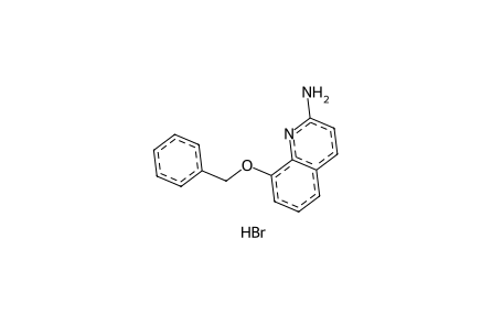 Br.Nc1ccc2cccc(OCc3ccccc3)c2n1